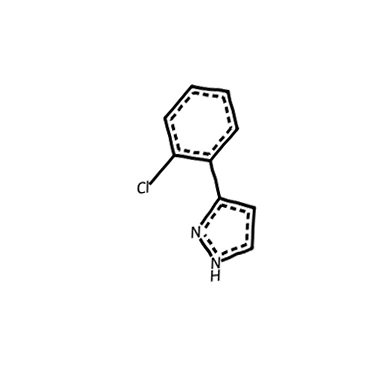 Clc1ccccc1-c1cc[nH]n1